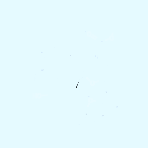 CC(C)(C)OC(=O)N1CCO[C@](CCCO)(c2ccc(Cl)c(Cl)c2)C1.CC(C)(C)[Si](C)(C)O[Si](C)(C)C(C)(C)C